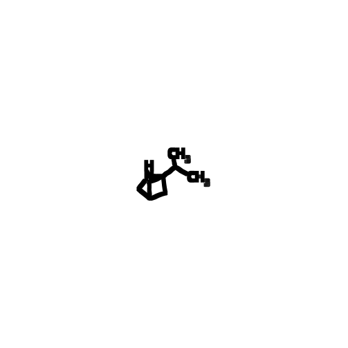 CC(C)C12CC(CN1)C2